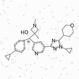 CN1CC(C)([C@](O)(c2ccc(C3CC3)cc2)c2cncc(-c3nc(C4CCOCC4)n(C4CC4)n3)c2)C1